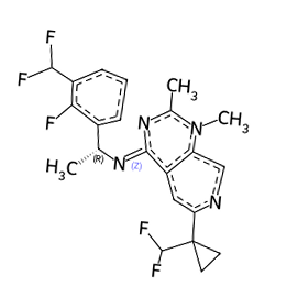 Cc1n/c(=N\[C@H](C)c2cccc(C(F)F)c2F)c2cc(C3(C(F)F)CC3)ncc2n1C